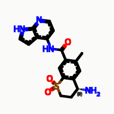 Cc1cc2c(cc1C(=O)Nc1ccnc3[nH]ccc13)S(=O)(=O)CC[C@H]2N